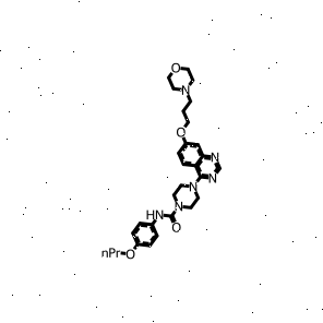 CCCOc1ccc(NC(=O)N2CCN(c3ncnc4cc(OCCCN5CCOCC5)ccc34)CC2)cc1